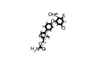 Cn1c(-c2ccc(Oc3cc(Cl)cc(F)c3C=O)cc2)cnc1COC(N)=O